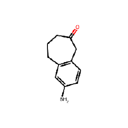 Bc1ccc2c(c1)CCCC(=O)C2